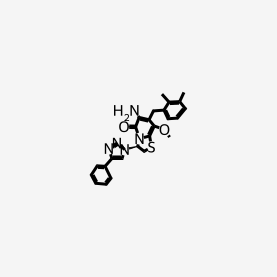 COc1c(Cc2cccc(C)c2C)c(N)c(=O)n2c1SC[C@H]2n1cc(-c2ccccc2)nn1